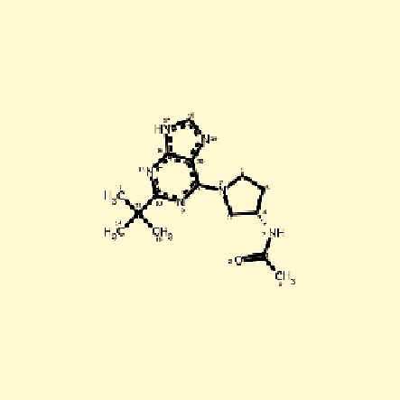 CC(=O)N[C@H]1CCN(c2nc(C(C)(C)C)nc3[nH]cnc23)C1